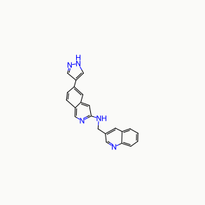 c1ccc2ncc(CNc3cc4cc(-c5cn[nH]c5)ccc4cn3)cc2c1